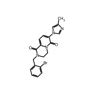 Cc1cn(-c2ccc3n(c2=O)CCN(Cc2ccccc2Br)C3=O)cn1